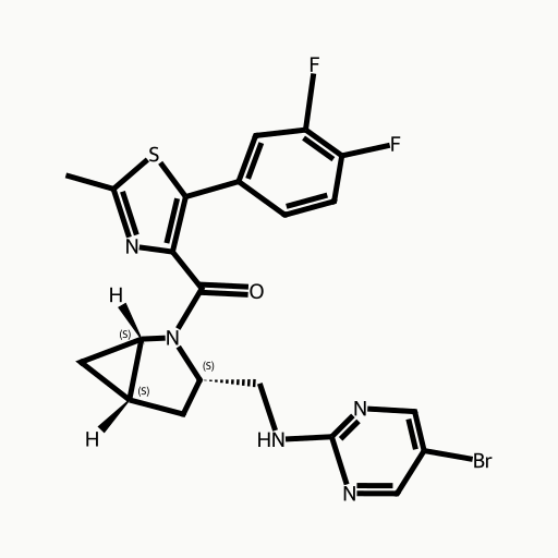 Cc1nc(C(=O)N2[C@H](CNc3ncc(Br)cn3)C[C@@H]3C[C@@H]32)c(-c2ccc(F)c(F)c2)s1